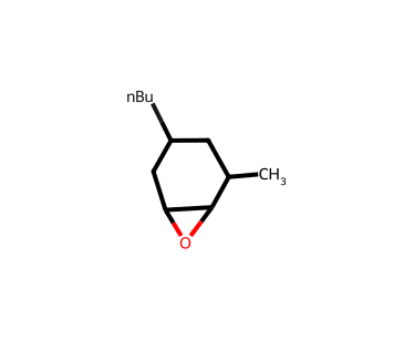 CC[CH]CC1CC(C)C2OC2C1